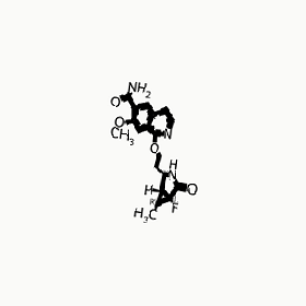 COc1cc2c(OCC[C@H]3NC(=O)[C@@]4(F)[C@@H]3[C@H]4C)nccc2cc1C(N)=O